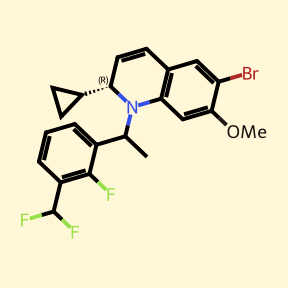 COc1cc2c(cc1Br)C=C[C@@H](C1CC1)N2C(C)c1cccc(C(F)F)c1F